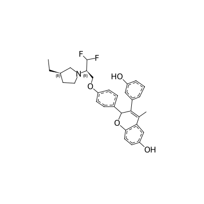 CC[C@@H]1CCN([C@H](COc2ccc(C3Oc4ccc(O)cc4C(C)=C3c3cccc(O)c3)cc2)C(F)F)C1